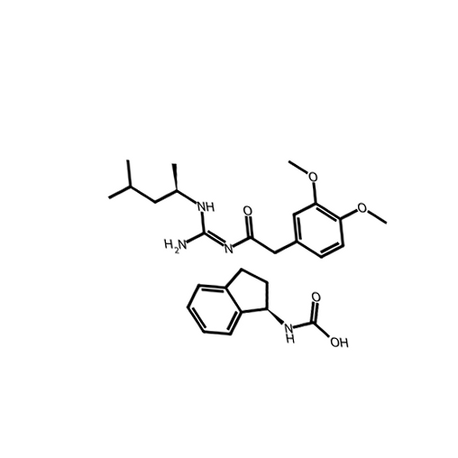 COc1ccc(CC(=O)N=C(N)N[C@H](C)CC(C)C)cc1OC.O=C(O)N[C@@H]1CCc2ccccc21